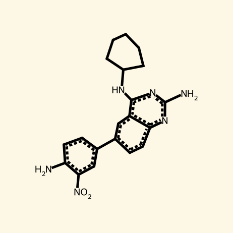 Nc1nc(NC2CCCCC2)c2cc(-c3ccc(N)c([N+](=O)[O-])c3)ccc2n1